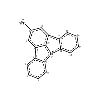 CCCc1cc2c3ccccc3n3c4ccccc4c(c1)c23